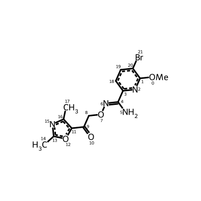 COc1nc(/C(N)=N/OCC(=O)c2oc(C)nc2C)ccc1Br